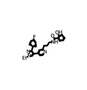 CCn1cc(-c2ccnc(CCCNC(=O)c3ccccc3O)c2)c(-c2ccc(F)cc2)n1